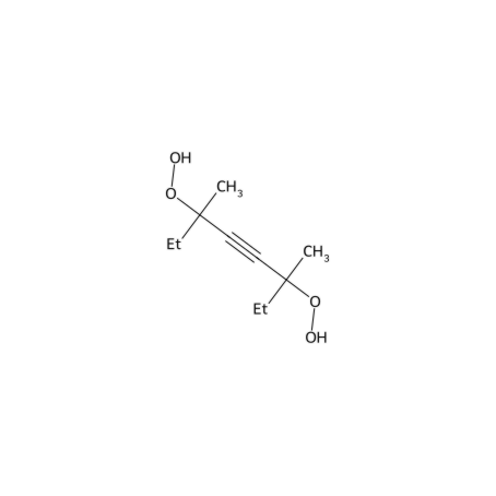 CCC(C)(C#CC(C)(CC)OO)OO